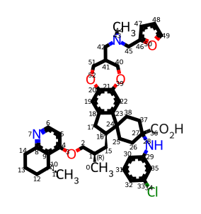 C[C@@H](COc1ccnc2c1[C@H](C)CCC2)C[C@H]1Cc2cc3c(cc2C12CCC(Nc1cccc(Cl)c1)(C(=O)O)CC2)OCC(CN(C)Cc1ccco1)CO3